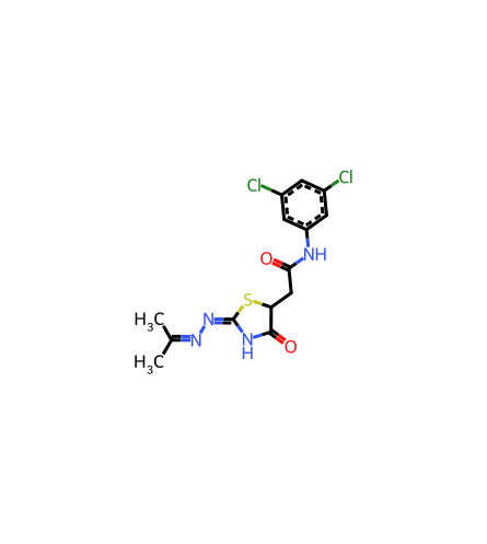 CC(C)=N/N=C1\NC(=O)C(CC(=O)Nc2cc(Cl)cc(Cl)c2)S1